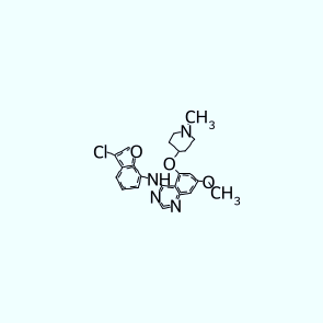 COc1cc(OC2CCN(C)CC2)c2c(Nc3cccc4c(Cl)coc34)ncnc2c1